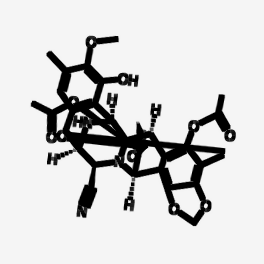 COc1c(C)cc2c(c1O)[C@@H]1N[C@H](C2)[C@H](C#N)N2C1[C@@H]1SC[C@@H](OC(C)=O)C(=O)OC[C@H]2c2c3c(c(C)c(OC(C)=O)c21)OCO3